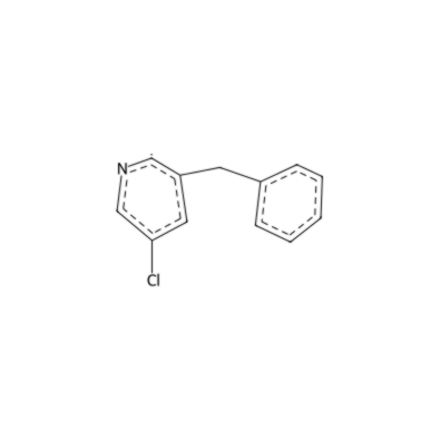 Clc1cn[c]c(Cc2ccccc2)c1